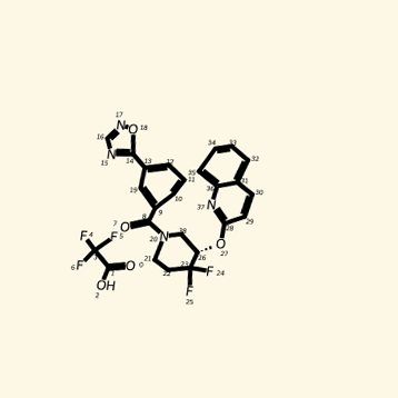 O=C(O)C(F)(F)F.O=C(c1cccc(-c2ncno2)c1)N1CCC(F)(F)[C@@H](Oc2ccc3ccccc3n2)C1